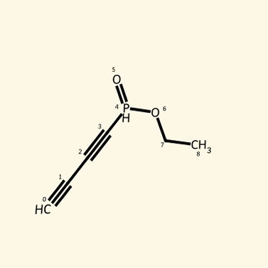 C#CC#C[PH](=O)OCC